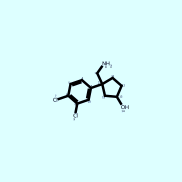 NCC1(c2ccc(Cl)c(Cl)c2)CCC(O)C1